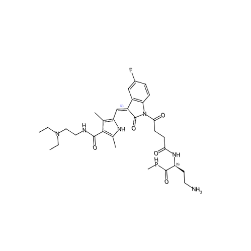 CCN(CC)CCNC(=O)c1c(C)[nH]c(/C=C2\C(=O)N(C(=O)CCC(=O)N[C@@H](CCN)C(=O)PC)c3ccc(F)cc32)c1C